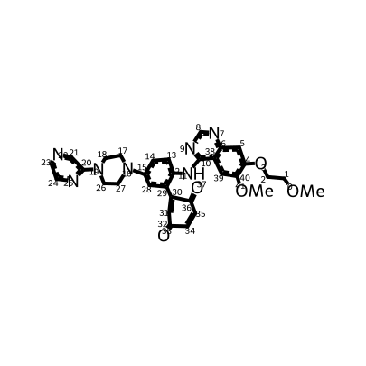 COCCOc1cc2ncnc(Nc3ccc(N4CCN(c5cnccn5)CC4)cc3C3=CC(=O)C=CC3=O)c2cc1OC